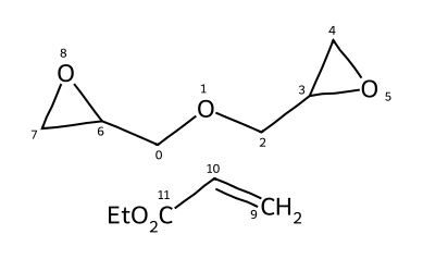 C(OCC1CO1)C1CO1.C=CC(=O)OCC